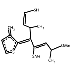 C=c1ccs/c1=C(\C(=C\C(C)OC)SC)C(C)/C=C\S